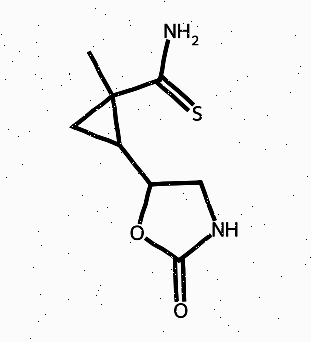 CC1(C(N)=S)CC1C1CNC(=O)O1